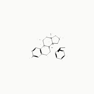 C=C(C)[C@@H]1[C@H]2[C@H]3[C@@H](c4ccc(O)cc4C[C@H]3c3ccccc3)[C@@H](F)C[C@]2(C)C[C@@H]1O